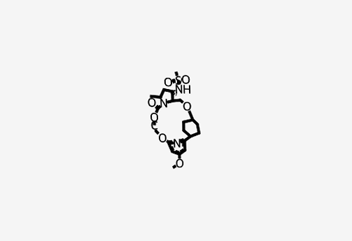 COc1cc2nc(c1)C1CCC(CC1)OCC1[C@@H](NS(C)(=O)=O)CC(C)N1C(=O)OCCO2